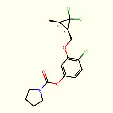 C[C@@H]1[C@H](COc2cc(OC(=O)N3CCCC3)ccc2Cl)C1(Cl)Cl